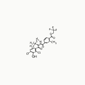 Cc1cc(C(=O)NN(C(=O)c2ccc(Cl)c(O)c2Cl)C(C)(C)C)ccc1C(=O)OCC(F)(F)F